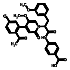 COc1cccc(CC(C(=O)Nc2ccc(C(=O)O)cc2)n2cc(OC)c(-c3cc(Cl)ccc3C(C)=O)cc2=O)c1